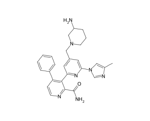 Cc1cn(-c2cc(CN3CCCC(N)C3)cc(-c3c(-c4ccccc4)ccnc3C(N)=O)n2)cn1